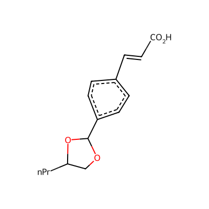 CCCC1COC(c2ccc(C=CC(=O)O)cc2)O1